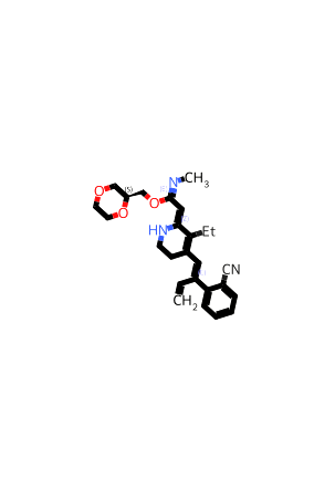 C=C/C(=C\C1=C(CC)C(=C/C(=N\C)OC[C@@H]2COCCO2)/NCC1)c1ccccc1C#N